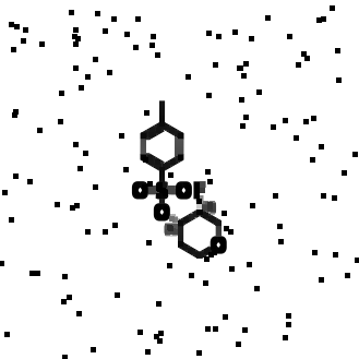 Cc1ccc(S(=O)(=O)O[C@H]2CCOC[C@H]2F)cc1